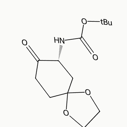 CC(C)(C)OC(=O)N[C@@H]1CC2(CCC1=O)OCCO2